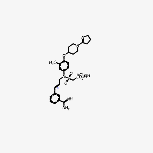 CCOC(=O)CS(=O)(=O)N(C/C=C/c1cccc(C(=N)N)c1)c1ccc(OC2CCN(C3=NCCC3)CC2)c(C)c1.Cl.Cl